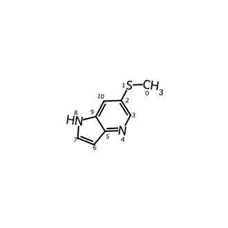 CSc1cnc2cc[nH]c2c1